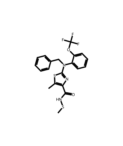 CSNC(=O)c1nc(N(Cc2ccccc2)c2ccccc2OC(F)(F)F)sc1C